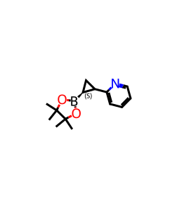 CC1(C)OB([C@H]2CC2c2ccccn2)OC1(C)C